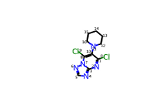 Clc1nc2ncnn2c(Cl)c1N1CCCCC1